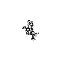 COc1ccc(CN2C(=O)CC[C@@H]2C#Cc2ccc(C3CC3)c(OC)n2)c(OC)c1